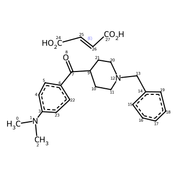 CN(C)c1ccc(C(=O)C2CCN(Cc3ccccc3)CC2)cc1.O=C(O)/C=C/C(=O)O